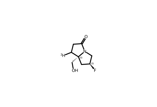 [2H]C1CC(=O)N2C[C@@H](F)C[C@@]12CO